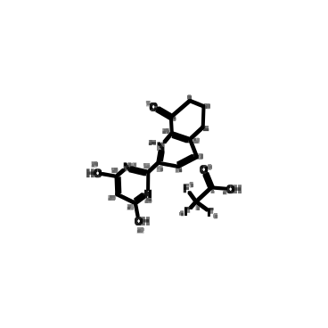 O=C(O)C(F)(F)F.O=C1CCCc2ccc(-c3nc(O)cc(O)n3)nc21